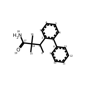 CC(c1ccccc1-c1ccccc1)C(C)(C)C(N)=O